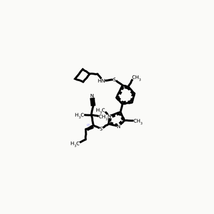 CC/C=C(\Sc1nc(C)c(-c2ccc(C)c(SNCC3CCC3)c2)n1C)C(C)(C)C#N